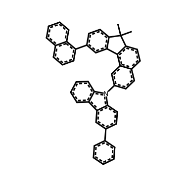 CC1(C)c2ccc(-c3cccc4ccccc34)cc2-c2c1ccc1ccc(-n3c4ccccc4c4cc(-c5ccccc5)ccc43)cc21